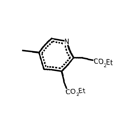 CCOC(=O)c1cc(C)cnc1C(=O)OCC